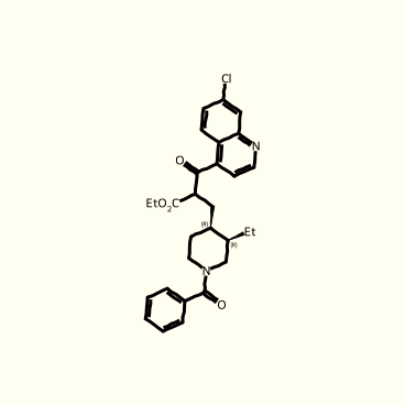 CCOC(=O)C(C[C@@H]1CCN(C(=O)c2ccccc2)C[C@@H]1CC)C(=O)c1ccnc2cc(Cl)ccc12